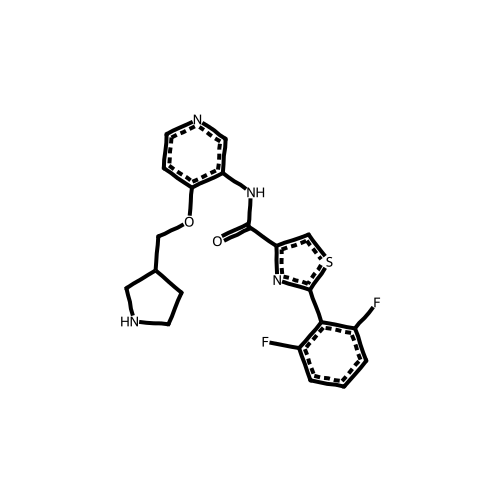 O=C(Nc1cnccc1OCC1CCNC1)c1csc(-c2c(F)cccc2F)n1